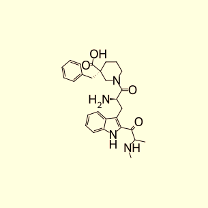 CNC(C)C(=O)c1[nH]c2ccccc2c1C[C@@H](N)C(=O)N1CCC[C@](Cc2ccccc2)(C(=O)O)C1